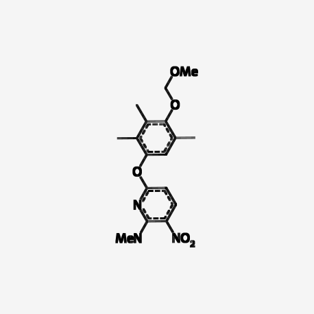 CNc1nc(Oc2cc(C)c(OCOC)c(C)c2C)ccc1[N+](=O)[O-]